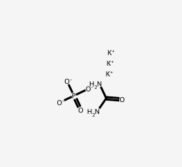 NC(N)=O.O=P([O-])([O-])[O-].[K+].[K+].[K+]